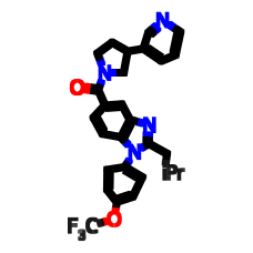 CC(C)Cc1nc2cc(C(=O)N3CCC(c4cccnc4)C3)ccc2n1-c1ccc(OC(F)(F)F)cc1